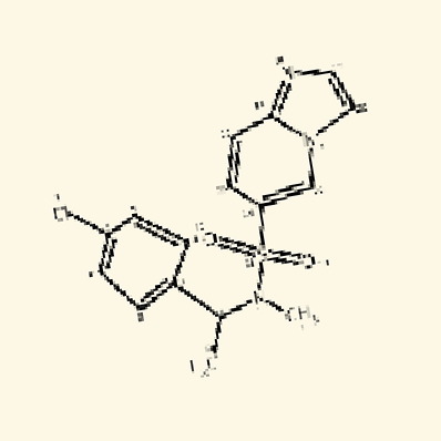 CN(C(c1ccc(Cl)cc1)C(F)(F)F)S(=O)(=O)c1ccc2nccn2c1